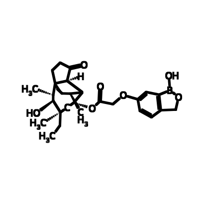 CC[C@]1(C)C[C@@H](OC(=O)COc2ccc3c(c2)B(O)OC3)C2[C@H](C)CC[C@]3(CCC(=O)[C@@H]23)[C@@H](C)[C@@H]1O